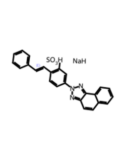 O=S(=O)(O)c1cc(-n2nc3ccc4ccccc4c3n2)ccc1/C=C/c1ccccc1.[NaH]